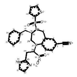 N#Cc1ccc2c(c1)CN(S(=O)(=O)c1cccs1)[C@H](Cc1ccccc1)CN2C(Cc1ncc[nH]1)[SH](=O)=O